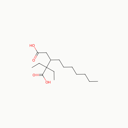 CCCCCCCC(CC(=O)O)C(CC)(CC)C(=O)O